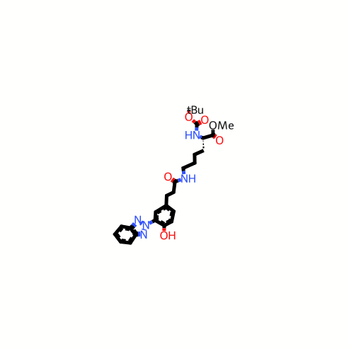 COC(=O)[C@H](CCCCNC(=O)CCc1ccc(O)c(-n2nc3ccccc3n2)c1)NC(=O)OC(C)(C)C